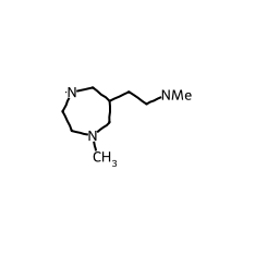 CNCCC1C[N]CCN(C)C1